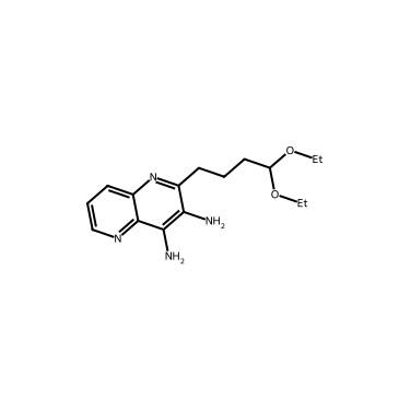 CCOC(CCCc1nc2cccnc2c(N)c1N)OCC